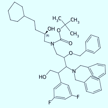 CC(C)(C)OC(=O)N(CC(OCc1ccccc1)C(C(CO)c1cc(F)cc(F)c1)N(Cc1ccccc1)Cc1ccccc1)C[C@H](O)CCC1CCCCC1